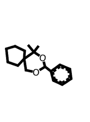 CC1(C)OC(c2ccccc2)OCC12CCCCC2